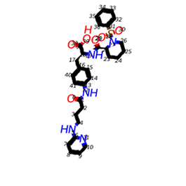 O=C(CCCNc1ccccn1)Nc1ccc(C[C@H](NC(=O)[C@@H]2CCCCN2S(=O)(=O)c2ccccc2)C(=O)O)cc1